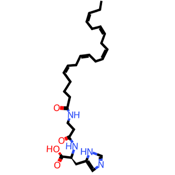 CC/C=C\C/C=C\C/C=C\C/C=C\C/C=C\CCCC(=O)NCCC(=O)N[C@@H](Cc1cnc[nH]1)C(=O)O